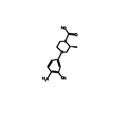 C[C@H]1CN(c2ccc(N)c(O)c2)CCN1C(=O)O